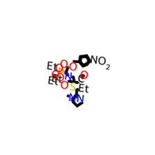 CCOP(OCC)(OCC)=C(C(=O)OCc1ccc([N+](=O)[O-])cc1)N1CC(C=C=O)(SC(CC)C2N3CCC(C3)N2C)C1=O